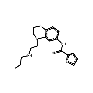 CCCNCCN1CCSc2ccc(NC(=N)c3cccs3)cc21